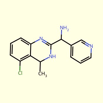 CC1NC(C(N)c2cccnc2)=Nc2cccc(Cl)c21